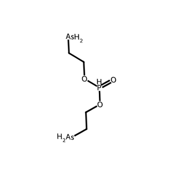 O=[PH](OCC[AsH2])OCC[AsH2]